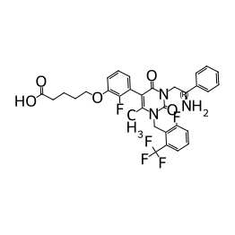 Cc1c(-c2cccc(OCCCCC(=O)O)c2F)c(=O)n(C[C@H](N)c2ccccc2)c(=O)n1Cc1c(F)cccc1C(F)(F)F